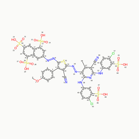 COc1ccc(-c2c(/N=N/c3cc(S(=O)(=O)O)c4cc(S(=O)(=O)O)cc(S(=O)(=O)O)c4c3)sc(N=Nc3c(Nc4ccc(Cl)c(S(=O)(=O)O)c4)nc(Nc4ccc(Cl)c(S(=O)(=O)O)c4)c(C#N)c3C)c2C#N)cc1